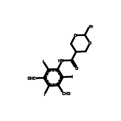 CC(C)C1OCC(C(=O)Nc2c(I)c(C=O)c(I)c(C=O)c2I)CO1